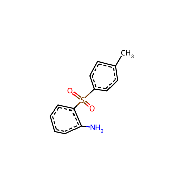 Cc1ccc(S(=O)(=O)c2ccccc2N)cc1